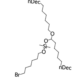 CCCCCCCCCCCCCCCCOC(CCCCCCCCCCCCCCC)O[Si](C)(C)OCCCCCCBr